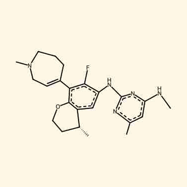 CNc1cc(C)nc(Nc2cc3c(c(C4=CCN(C)CCC4)c2F)OCC[C@H]3C)n1